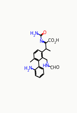 Cc1ccc(C(C)C(=NC(N)=O)C(=O)O)c(CNC=O)c1-c1ccccc1N